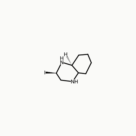 I[C@@H]1CNC2CCCC[C@@H]2N1